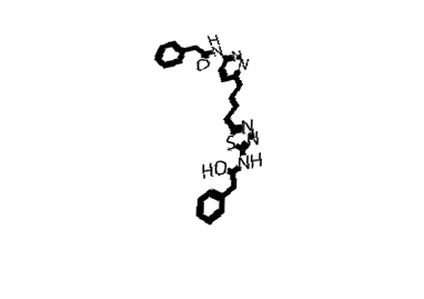 O=C(Cc1ccccc1)Nc1ccc(CCCCc2nnc(NC(O)Cc3ccccc3)s2)nn1